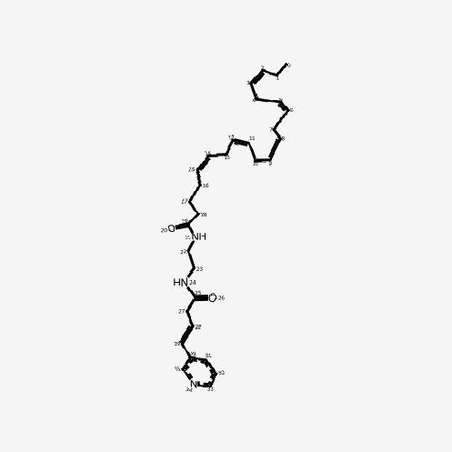 CC/C=C\C/C=C\C/C=C\C/C=C\C/C=C\CCCC(=O)NCCNC(=O)C/C=C/c1cccnc1